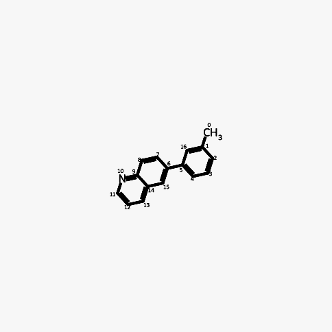 Cc1cccc(-c2ccc3ncccc3c2)c1